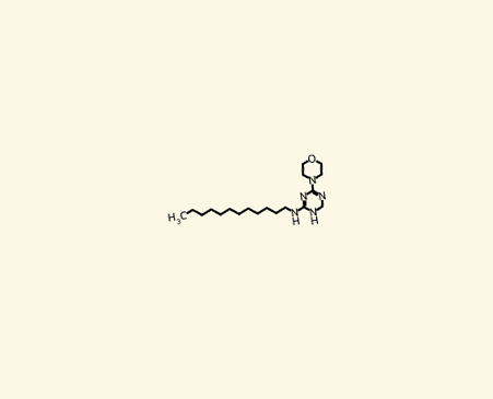 CCCCCCCCCCCCNC1=NC(N2CCOCC2)=NCN1